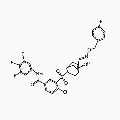 O=C(Nc1cc(F)c(F)c(F)c1)c1ccc(Cl)c(S(=O)(=O)C2CC3CCC2C[C@]3(O)/C=N/OCc2ccc(F)cc2)c1